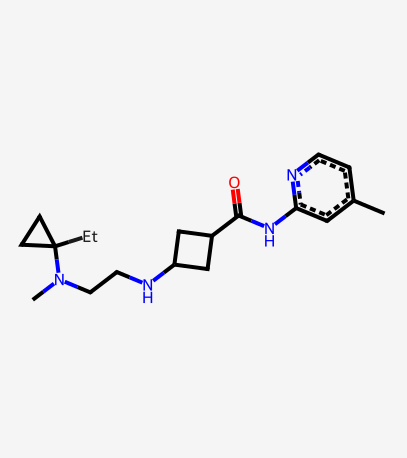 CCC1(N(C)CCNC2CC(C(=O)Nc3cc(C)ccn3)C2)CC1